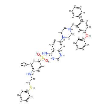 O=[N+]([O-])c1cc(S(=O)(=O)Nc2ncnc3cc(N4CCN(Cc5cc(Oc6ccccc6)ccc5-c5ccccc5)CC4)ccc23)ccc1NCCSc1ccccc1